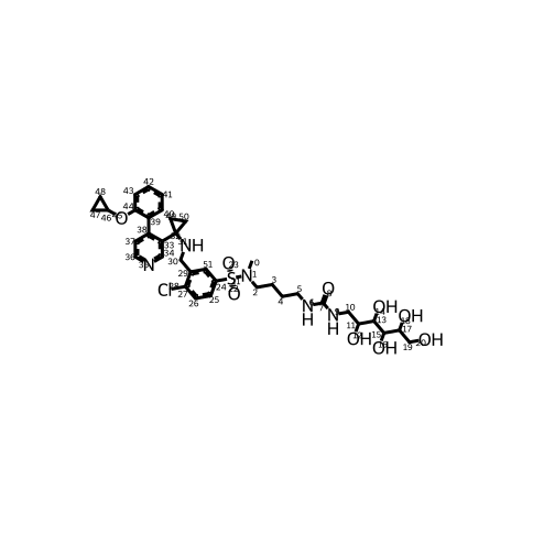 CN(CCCCNC(=O)NCC(O)C(O)C(O)C(O)CO)S(=O)(=O)c1ccc(Cl)c(CNC2(c3cnccc3-c3ccccc3OC3CC3)CC2)c1